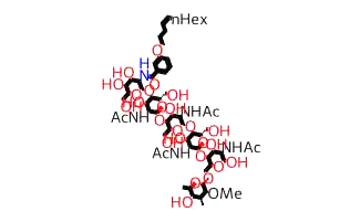 CCCCCC/C=C\CCCOc1cccc(C(=O)N[C@H]2C(O)[C@H](O)C(CO)O[C@H]2O[C@H]2C(O)C(NC(C)=O)C(OC3C(CO)O[C@@H](O[C@H]4C(O)C(NC(C)=O)C(OC5C(CO[C@@H]6OC(C)C(O)[C@H](C)[C@H]6OC)OC(O)[C@@H](NC(C)=O)C5O)O[C@H]4CO)[C@@H](NC(C)=O)C3O)O[C@H]2CO)c1